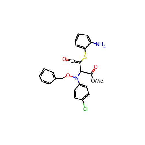 COC(=O)C(C(=C=O)Sc1ccccc1N)N(OCc1ccccc1)c1ccc(Cl)cc1